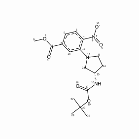 COC(=O)c1ccc([N+](=O)[O-])c(N2CC[C@H](NC(=O)OC(C)(C)C)C2)c1